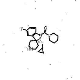 O=C(N1CCCCC1)N1c2ccc(F)cc2C2(CCNCC2)[C@H]1CC1CC1